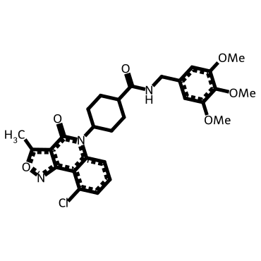 COc1cc(CNC(=O)C2CCC(n3c(=O)c4c(C)onc4c4c(Cl)cccc43)CC2)cc(OC)c1OC